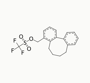 O=S(=O)(OCc1cccc2c1CCCCc1ccccc1-2)C(F)(F)F